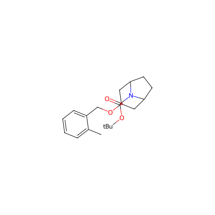 Cc1ccccc1COC1CC2CCC(C1)N2C(=O)OC(C)(C)C